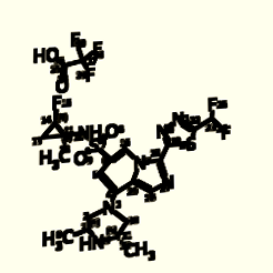 C[C@H]1CN(c2cc(S(=O)(=O)N[C@@]3(C)C[C@H]3F)cn3c(-c4nnc(C(F)F)s4)ncc23)C[C@H](C)N1.O=C(O)C(F)(F)F